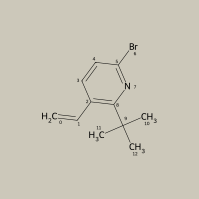 C=Cc1ccc(Br)nc1C(C)(C)C